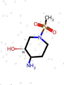 CS(=O)(=O)N1CCC(N)[C@H](O)C1